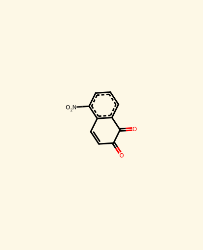 O=C1C=Cc2c(cccc2[N+](=O)[O-])C1=O